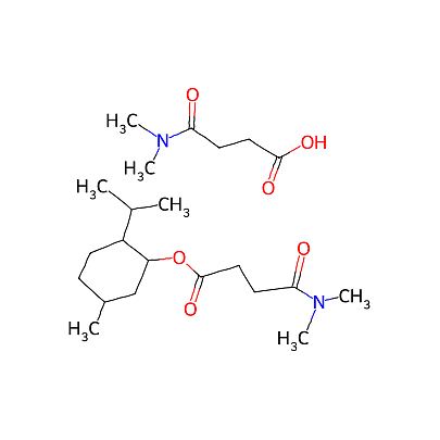 CC1CCC(C(C)C)C(OC(=O)CCC(=O)N(C)C)C1.CN(C)C(=O)CCC(=O)O